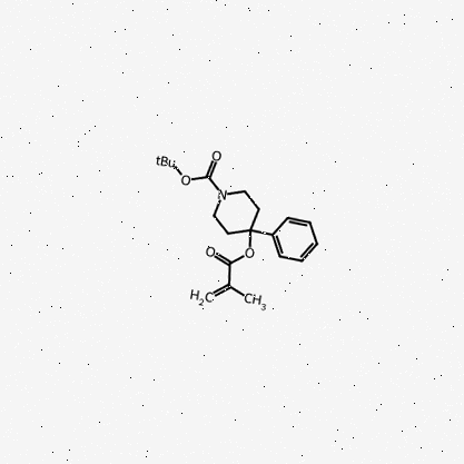 C=C(C)C(=O)OC1(c2ccccc2)CCN(C(=O)OC(C)(C)C)CC1